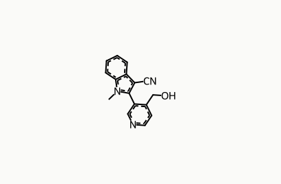 Cn1c(-c2cnccc2CO)c(C#N)c2ccccc21